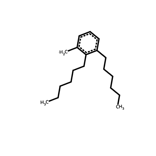 [CH2]c1cccc(CCCCCC)c1CCCCCC